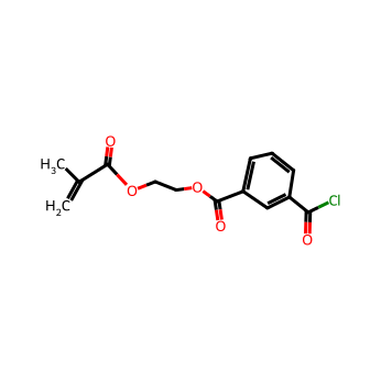 C=C(C)C(=O)OCCOC(=O)c1cccc(C(=O)Cl)c1